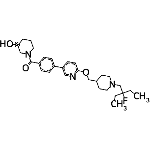 CCC(F)(CC)CN1CCC(COc2ccc(-c3ccc(C(=O)N4CCC[C@H](O)C4)cc3)cn2)CC1